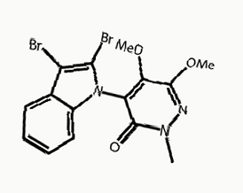 COc1nn(C)c(=O)c(-n2c(Br)c(Br)c3ccccc32)c1OC